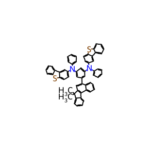 CC1(C)c2ccccc2-c2c1cc(-c1cc(N(c3ccccc3)c3ccc4sc5ccccc5c4c3)cc(N(c3ccccc3)c3ccc4sc5ccccc5c4c3)c1)c1ccccc21